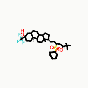 CC(C)(C)[C@@H](O)CC(CC[C@@H]1CCC2C3CCC4C[C@](O)(C(F)(F)F)CC[C@]4(C)C3CCC21C)S(=O)(=O)c1ccccc1